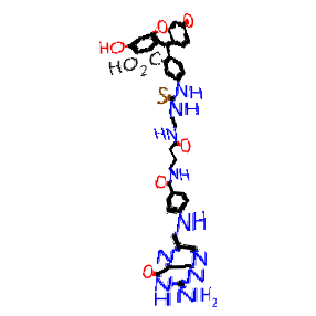 NC1=NC2N=CC(CNc3ccc(C(=O)NCCCC(=O)NCCNC(=S)Nc4ccc(-c5c6ccc(=O)cc-6oc6cc(O)ccc56)c(C(=O)O)c4)cc3)=NC2C(=O)N1